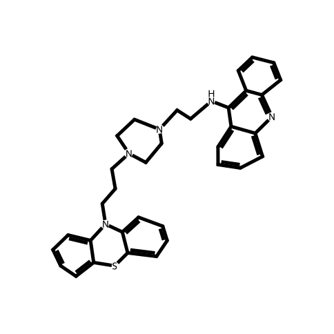 c1ccc2c(c1)Sc1ccccc1N2CCCN1CCN(CCNc2c3ccccc3nc3ccccc23)CC1